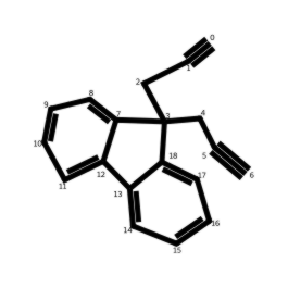 C#CCC1(CC#C)c2ccccc2-c2ccccc21